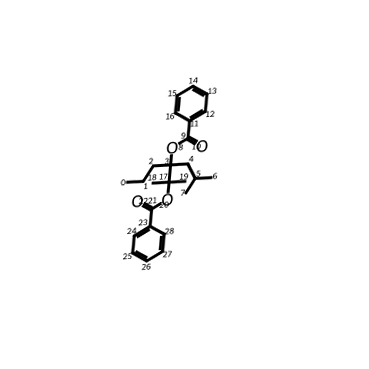 CCCC(CC(C)C)(OC(=O)c1ccccc1)C(C)(C)OC(=O)c1ccccc1